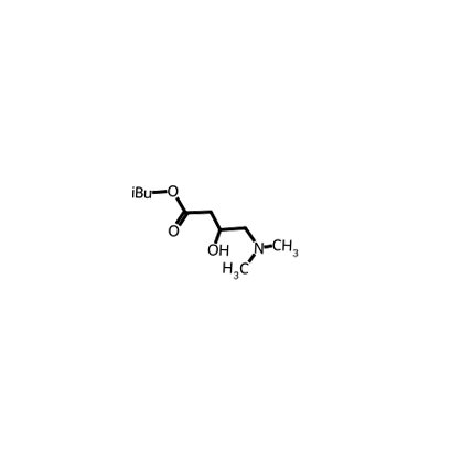 CCC(C)OC(=O)CC(O)CN(C)C